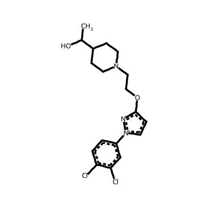 CC(O)C1CCN(CCOc2ccn(-c3ccc(Cl)c(Cl)c3)n2)CC1